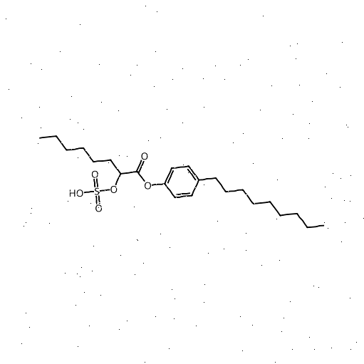 CCCCCCCCCc1ccc(OC(=O)C(CCCCCC)OS(=O)(=O)O)cc1